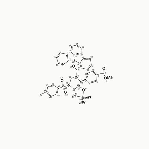 COC(=O)c1ccc([C@@H]2[C@@H](COC(c3ccccc3)(c3ccccc3)c3ccccc3)CN(S(=O)(=O)c3ccc(C)cc3)C[C@H]2O[Si](C(C)C)(C(C)C)C(C)C)cc1